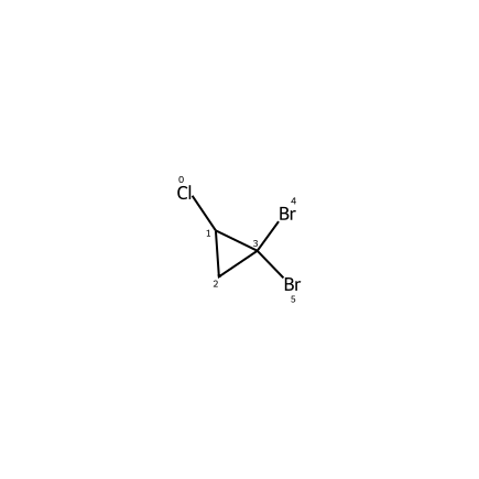 ClC1CC1(Br)Br